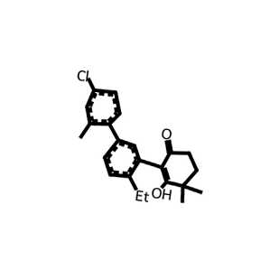 CCc1ccc(-c2ccc(Cl)cc2C)cc1C1=C(O)C(C)(C)CCC1=O